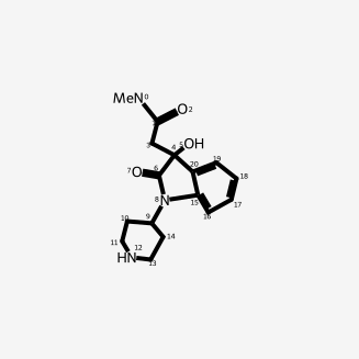 CNC(=O)CC1(O)C(=O)N(C2CCNCC2)c2ccccc21